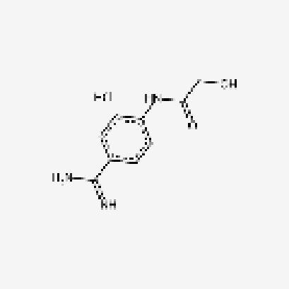 Cl.N=C(N)c1ccc(NC(=O)CO)cc1